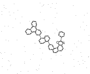 c1ccc(-c2nc3ccc4ccc5ccc(-c6cccc7c(-c8ccc9c%10ccccc%10c%10ccccc%10c9c8)cccc67)cc5c4c3o2)cc1